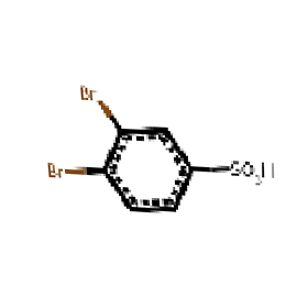 O=S(=O)(O)c1ccc(Br)c(Br)c1